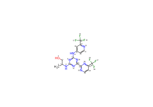 CC(CO)Nc1nc(Nc2ccnc(C(F)(F)F)c2)nc(-c2nccc(C(F)(F)F)n2)n1